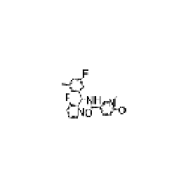 Cc1cc(F)cc([C@H](NC(=O)c2ccc(=O)n(C)c2)c2ncccc2F)c1